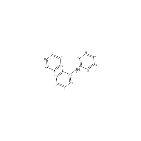 Sc1ccccc1.c1ccccc1.c1ccccc1